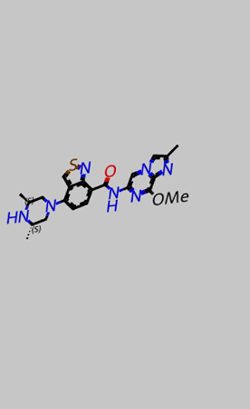 COc1nc(NC(=O)c2ccc(N3C[C@H](C)N[C@@H](C)C3)c3csnc23)cn2cc(C)nc12